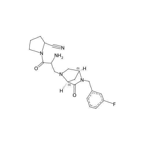 N#CC1CCCN1C(=O)C(N)CN1C[C@@H]2C[C@H]1C(=O)N2Cc1cccc(F)c1